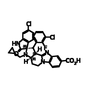 O=C(O)c1ccc2c(c1)nc1n2CC[C@@H]2[C@H]1C(c1cccc(Cl)c1F)[C@@]1(C(=O)Nc3cc(Cl)ccc31)N2CC1CC1